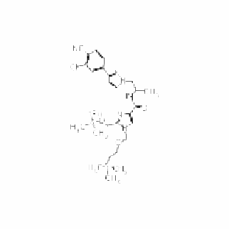 CC(Cn1ccc(-c2ccc(C#N)c(Cl)c2)n1)NC(=O)c1cn(COCC[Si](C)(C)C)c(CO[Si](C)(C)C(C)(C)C)n1